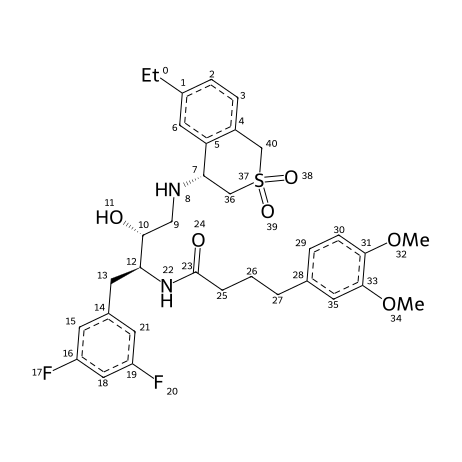 CCc1ccc2c(c1)[C@@H](NC[C@@H](O)[C@H](Cc1cc(F)cc(F)c1)NC(=O)CCCc1ccc(OC)c(OC)c1)CS(=O)(=O)C2